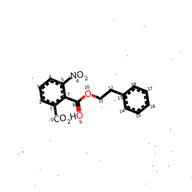 O=C(O)c1cccc([N+](=O)[O-])c1C(=O)OCCc1ccccc1